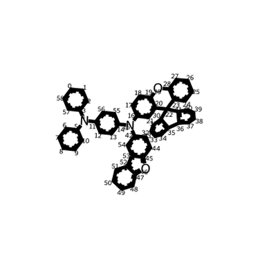 c1ccc(N(c2ccccc2)c2ccc(N(c3ccc4c(c3)C3(c5ccccc5O4)c4ccccc4-c4ccccc43)c3ccc4oc5ccccc5c4c3)cc2)cc1